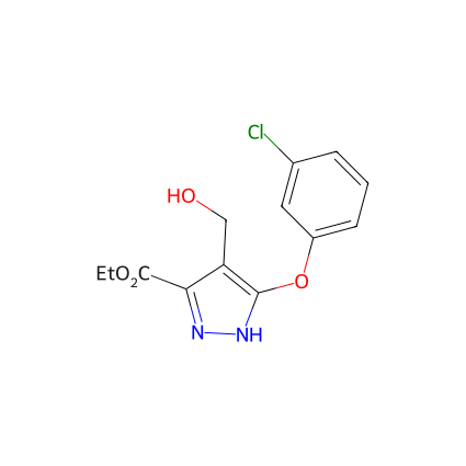 CCOC(=O)c1n[nH]c(Oc2cccc(Cl)c2)c1CO